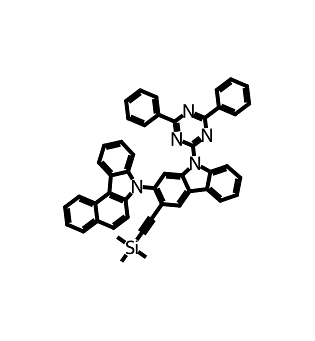 C[Si](C)(C)C#Cc1cc2c3ccccc3n(-c3nc(-c4ccccc4)nc(-c4ccccc4)n3)c2cc1-n1c2ccccc2c2c3ccccc3ccc21